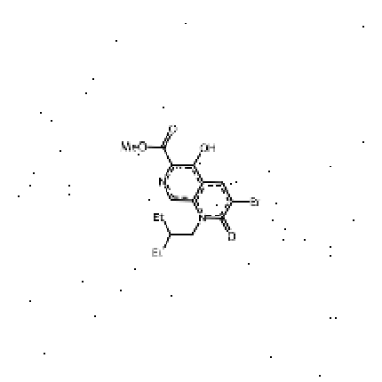 CCC(CC)Cn1c(=O)c(Br)cc2c(O)c(C(=O)OC)ncc21